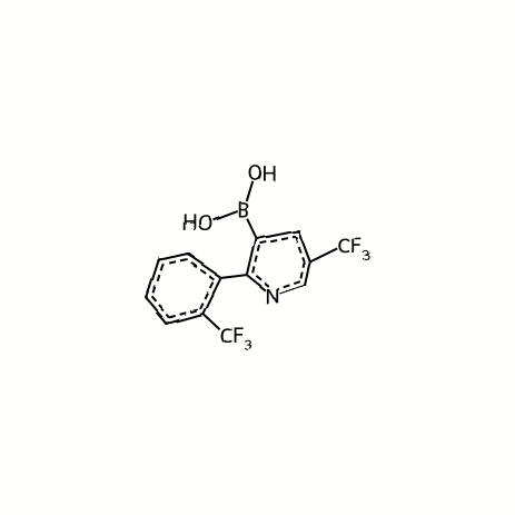 OB(O)c1cc(C(F)(F)F)cnc1-c1ccccc1C(F)(F)F